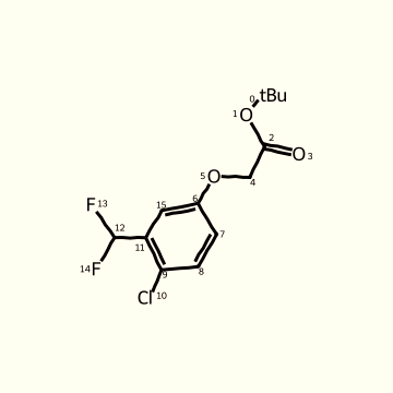 CC(C)(C)OC(=O)COc1ccc(Cl)c(C(F)F)c1